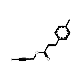 Cc1ccc(C=CC(=O)OCC#CI)cc1